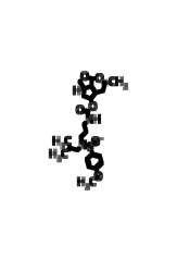 COc1ccc([S+]([O-])N(CCCNC(=O)OC2C[C@H]3COC4O[C@H](C)CC2C43)CC(C)C)cc1